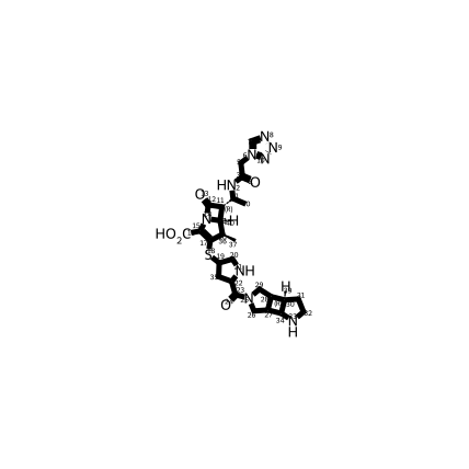 CC(NC(=O)Cn1cnnn1)[C@H]1C(=O)N2C(C(=O)O)=C(SC3CNC(C(=O)N4CC5C(C4)[C@H]4CCNC54)C3)[C@H](C)[C@H]12